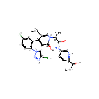 CCC[C@@H](C(=O)Nc1ccc(C(=O)NC)nc1)n1cc(OC)c(-c2cc(Cl)ccc2-n2cc(Cl)nn2)cc1=O